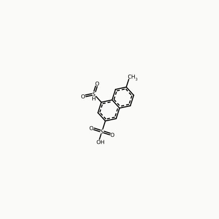 Cc1ccc2cc(S(=O)(=O)O)cc([SH](=O)=O)c2c1